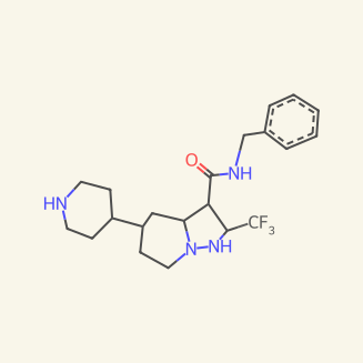 O=C(NCc1ccccc1)C1C2CC(C3CCNCC3)CCN2NC1C(F)(F)F